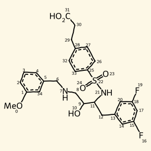 COc1cccc(CNCC(O)C(Cc2cc(F)cc(F)c2)NS(=O)(=O)c2ccc(CCC(=O)O)cc2)c1